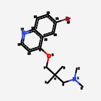 CN(C)CC(C)(C)COc1ccnc2ccc(Br)cc12